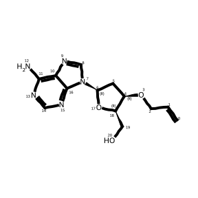 C=CCO[C@@H]1C[C@H](n2cnc3c(N)ncnc32)O[C@@H]1CO